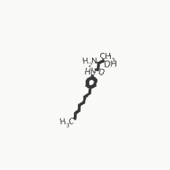 CCCCCCCCc1ccc(NC(=O)[C@@H](N)[C@@H](C)O)cc1